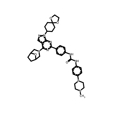 CN1CCN(c2ccc(NC(=O)Nc3ccc(-c4nc(N5CC6CCC(C5)O6)c5cnn(C6CCC7(CC6)OCCO7)c5n4)cc3)cc2)CC1